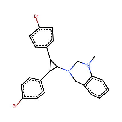 CN1CN(C2C(c3ccc(Br)cc3)C2c2ccc(Br)cc2)Cc2ccccc21